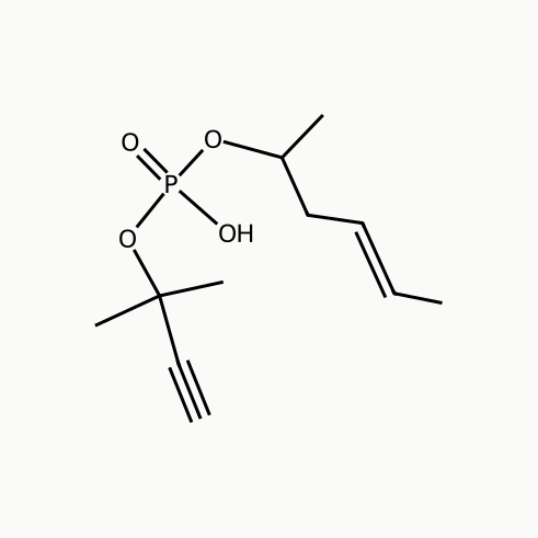 C#CC(C)(C)OP(=O)(O)OC(C)CC=CC